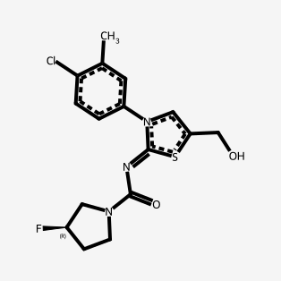 Cc1cc(-n2cc(CO)sc2=NC(=O)N2CC[C@@H](F)C2)ccc1Cl